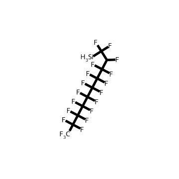 FC(C(F)(F)[SiH3])C(F)(F)C(F)(F)C(F)(F)C(F)(F)C(F)(F)C(F)(F)C(F)(F)C(F)(F)F